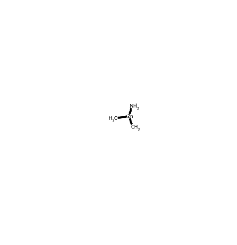 [CH3][Zn]([CH3])[NH2]